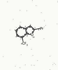 CC(C)c1cc2cccc(C(F)(F)F)c2o1